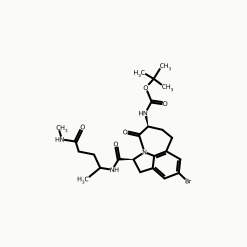 CNC(=O)CCC(C)NC(=O)[C@@H]1Cc2cc(Br)cc3c2N1C(=O)[C@@H](NC(=O)OC(C)(C)C)CC3